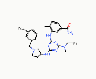 Cc1ccc(C(N)=O)cc1Nc1nc(N[C@H]2CCN(Cc3cccc(C#N)c3)C2)nc(N(C)CC(C)C)n1